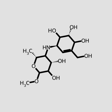 COC1O[C@H](C)C(N[C@@H]2C=C(CO)C(O)[C@@H](O)C2O)[C@H](O)C1O